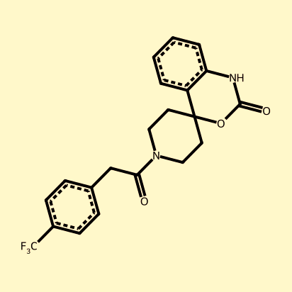 O=C1Nc2ccccc2C2(CCN(C(=O)Cc3ccc(C(F)(F)F)cc3)CC2)O1